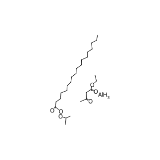 CCCCCCCCCCCCCCCCCC(=O)OOC(C)C.CCOC(=O)CC(C)=O.[AlH3]